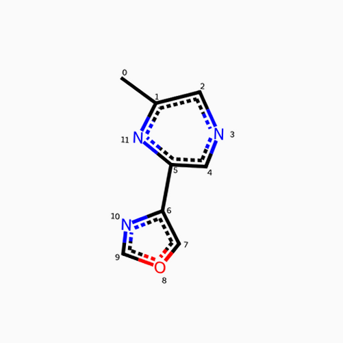 Cc1cncc(-c2cocn2)n1